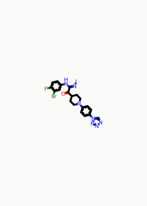 O=C(/C(=N/I)Nc1ccc(F)c(Br)c1)C1CCN(c2ccc(-n3cnnn3)cc2)CC1